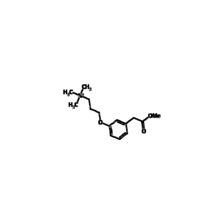 COC(=O)Cc1cccc(OCCC[N+](C)(C)C)c1